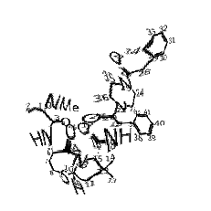 CN[C@@H](C)C(=O)N[C@H]1CCS[C@H]2CC(C)(C)[C@@H](C(=O)N[C@H](C(=O)N3CCN(C(=O)Cc4ccccc4)CC3)c3ccccc3)N2C1=O